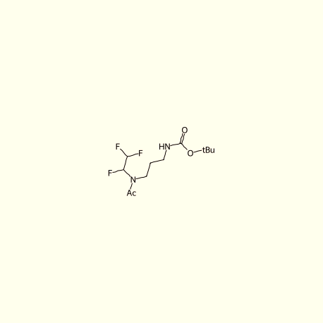 CC(=O)N(CCCNC(=O)OC(C)(C)C)C(F)C(F)F